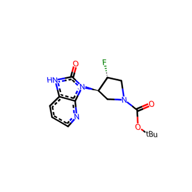 CC(C)(C)OC(=O)N1C[C@@H](F)[C@H](n2c(=O)[nH]c3cccnc32)C1